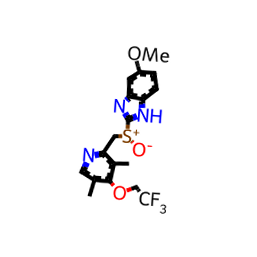 COc1ccc2[nH]c([S+]([O-])Cc3ncc(C)c(OCC(F)(F)F)c3C)nc2c1